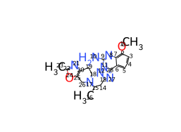 COc1cccc2c1nc(N)n1nc(CC(C)N3CCc4nc(C)oc4C3)nc21